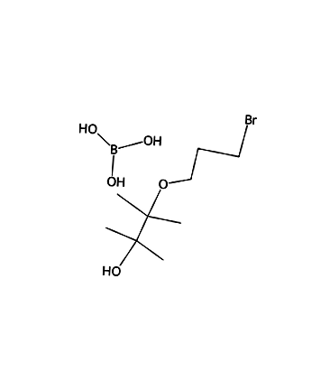 CC(C)(O)C(C)(C)OCCCBr.OB(O)O